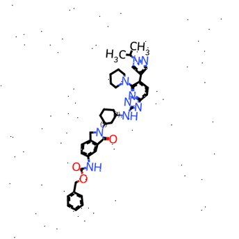 CC(C)n1cc(-c2ccc3nc(N[C@@H]4CCC[C@H](N5Cc6ccc(NC(=O)OCc7ccccc7)cc6C5=O)C4)nn3c2N2CCCCC2)cn1